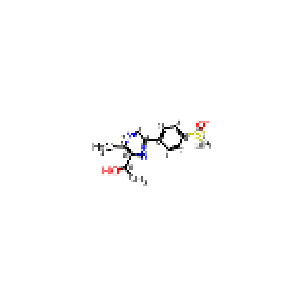 Cc1ncc(-c2ccc([S+]([O-])C(C)C)cc2)nc1C(C)O